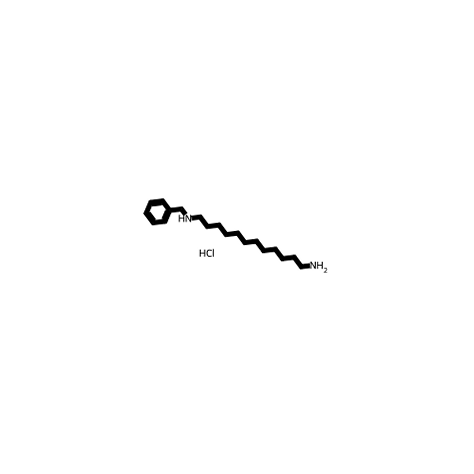 Cl.NCCCCCCCCCCCCNCc1ccccc1